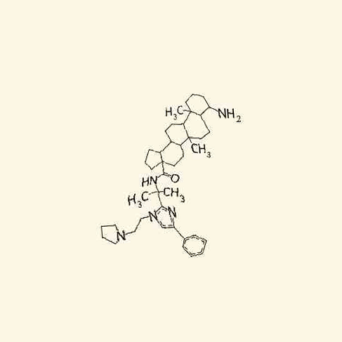 CC(C)(NC(=O)C12CCCC1C1CCC3C4(C)CCCC(N)C4CCC3(C)C1CC2)c1nc(-c2ccccc2)cn1CCN1CCCC1